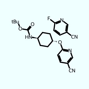 CC(C)(C)OC(=O)N[C@H]1CC[C@H](Oc2ccc(C#N)cn2)CC1.N#Cc1ccc(F)nc1